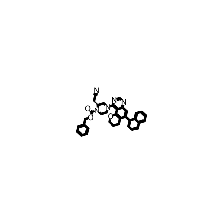 N#CC[C@H]1CN(c2ncnc3cc(-c4cccc5ccccc45)c4c(c23)OCCC4)CCN1C(=O)OCc1ccccc1